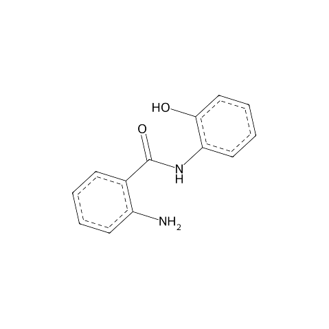 Nc1ccccc1C(=O)Nc1ccccc1O